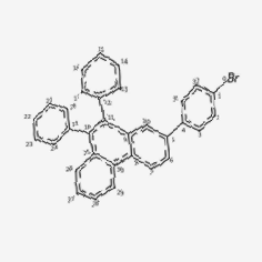 Brc1ccc(-c2ccc3c(c2)c(-c2ccccc2)c(-c2ccccc2)c2ccccc23)cc1